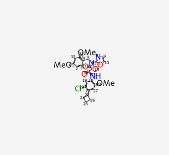 COc1ccc(CN(c2ncco2)S(=O)(=O)C(=O)Nc2cc(Cl)c(C3CCC3)cc2OC)c(OC)c1